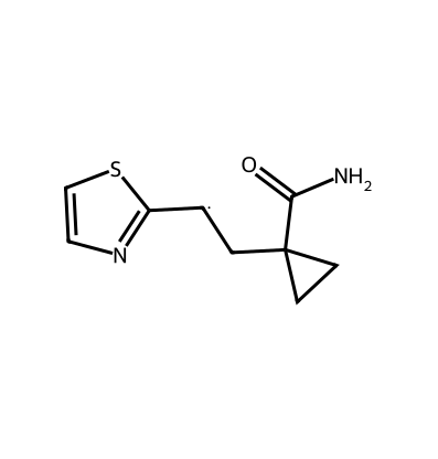 NC(=O)C1(C[CH]c2nccs2)CC1